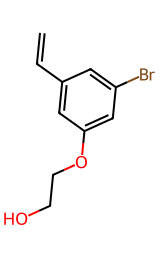 C=Cc1cc(Br)cc(OCCO)c1